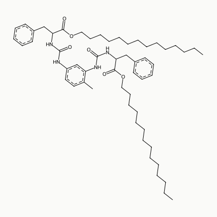 CCCCCCCCCCCCCCOC(=O)C(Cc1ccccc1)NC(=O)Nc1ccc(C)c(NC(=O)NC(Cc2ccccc2)C(=O)OCCCCCCCCCCCCCC)c1